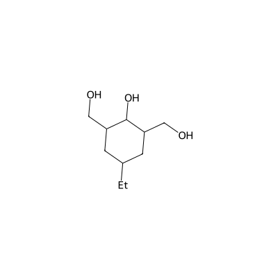 CCC1CC(CO)C(O)C(CO)C1